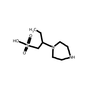 CCC(CS(=O)(=O)O)N1CCNCC1